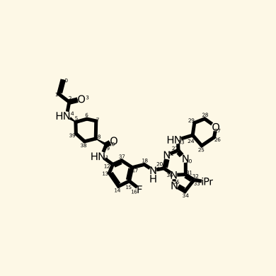 C=CC(=O)N[C@H]1CC[C@@H](C(=O)Nc2ccc(F)c(CNc3nc(NC4CCOCC4)nc4c(C(C)C)cnn34)c2)CC1